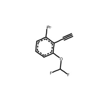 C#Cc1c(OC(F)F)cccc1[C](C)C